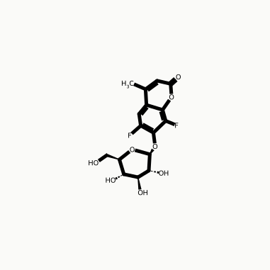 Cc1cc(=O)oc2c(F)c(O[C@@H]3O[C@H](CO)[C@@H](O)[C@H](O)[C@H]3O)c(F)cc12